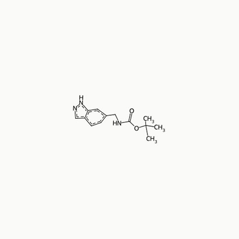 CC(C)(C)OC(=O)NCc1ccc2cn[nH]c2c1